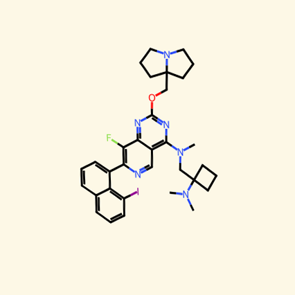 CN(CC1(N(C)C)CCC1)c1nc(OCC23CCCN2CCC3)nc2c(F)c(-c3cccc4cccc(I)c34)ncc12